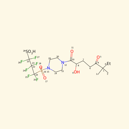 CCC(C)(C)C(=O)CCC(O)C(=O)N1CCN(S(=O)(=O)C(F)(F)C(F)(F)C(F)(F)S(=O)(=O)O)CC1